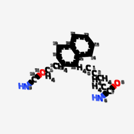 C.C.C.C.C.C.N=C=O.N=C=O.c1ccc2ccccc2c1